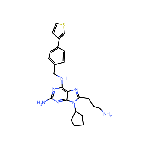 NCCCc1nc2c(NCc3ccc(-c4ccsc4)cc3)nc(N)nc2n1C1CCCC1